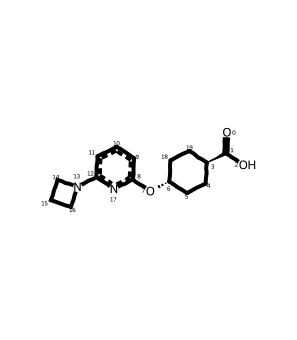 O=C(O)[C@H]1CC[C@H](Oc2cccc(N3CCC3)n2)CC1